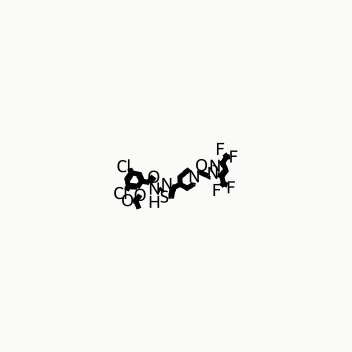 CC(=O)Oc1c(Cl)cc(Cl)cc1C(=O)Nc1nc(C2CCN(C(=O)Cn3nc(C(F)F)cc3C(F)F)CC2)cs1